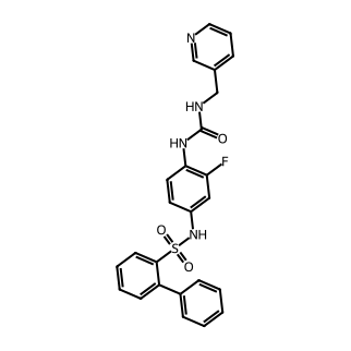 O=C(NCc1cccnc1)Nc1ccc(NS(=O)(=O)c2ccccc2-c2ccccc2)cc1F